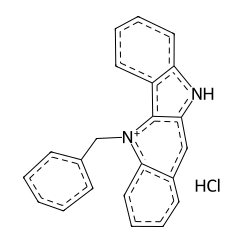 Cl.c1ccc(C[n+]2c3ccccc3cc3[nH]c4ccccc4c32)cc1